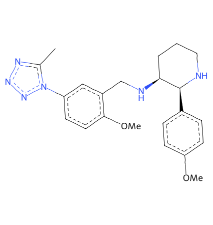 COc1ccc([C@@H]2NCCC[C@@H]2NCc2cc(-n3nnnc3C)ccc2OC)cc1